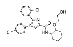 O=C(NC1CCCCC1OCCO)c1cn(-c2ccc(Cl)cc2)c(-c2ccccc2Cl)n1